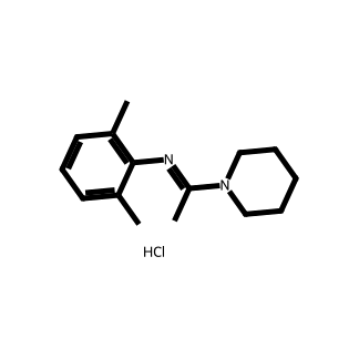 C/C(=N\c1c(C)cccc1C)N1CCCCC1.Cl